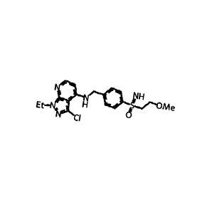 CCn1nc(Cl)c2c(NCc3ccc(S(=N)(=O)CCOC)cc3)ccnc21